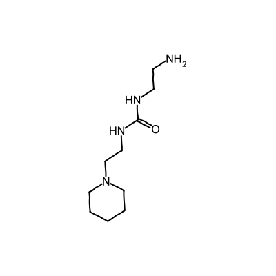 NCCNC(=O)NCCN1CCCCC1